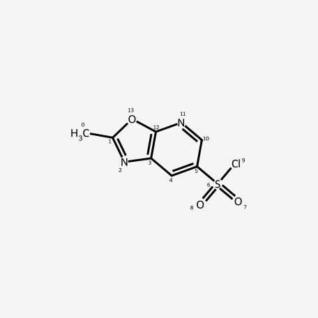 Cc1nc2cc(S(=O)(=O)Cl)cnc2o1